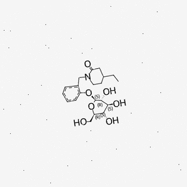 CCC1CCN(Cc2ccccc2O[C@@H]2O[C@H](CO)[C@@H](O)[C@H](O)[C@H]2O)C(=O)C1